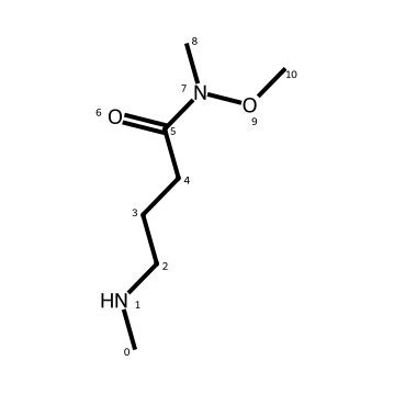 CNCCCC(=O)N(C)OC